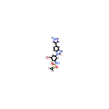 Cn1cc(-c2ccc3c(c2)ncn3-c2cc(Br)cc(NS(=O)(=O)C3CC3)c2)cn1